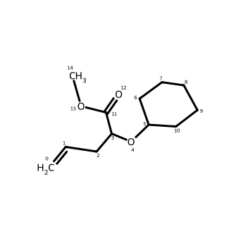 C=CCC(OC1CCCCC1)C(=O)OC